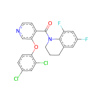 O=C(c1ccncc1Oc1ccc(Cl)cc1Cl)N1CCCc2cc(F)cc(F)c21